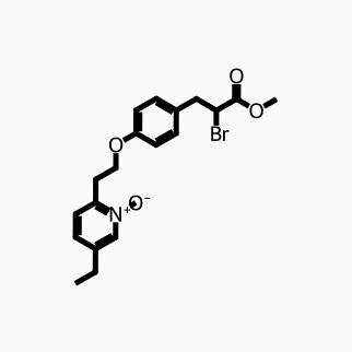 CCc1ccc(CCOc2ccc(CC(Br)C(=O)OC)cc2)[n+]([O-])c1